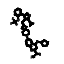 O=C(O)c1cc(OC2CCCC2)c2cc(N3CCC4(CC3)CC(=Cc3c(-c5ccccc5OC(F)(F)F)noc3C3CC3)C4)ccc2n1